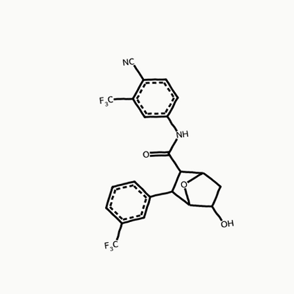 N#Cc1ccc(NC(=O)C2C3CC(O)C(O3)C2c2cccc(C(F)(F)F)c2)cc1C(F)(F)F